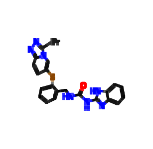 CC(C)c1nnc2ccc(Sc3ccccc3CNC(=O)Nc3nc4ccccc4[nH]3)cn12